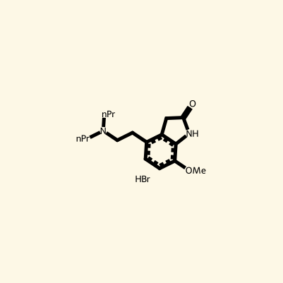 Br.CCCN(CCC)CCc1ccc(OC)c2c1CC(=O)N2